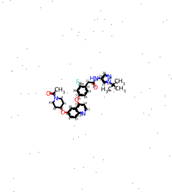 CC(=O)N1CCC(Oc2ccc3nccc(Oc4ccc(CC(=O)Nc5cnn(C(C)(C)C)c5)c(F)c4)c3c2)CC1